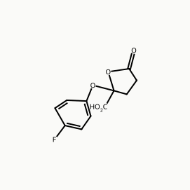 O=C1CCC(Oc2ccc(F)cc2)(C(=O)O)O1